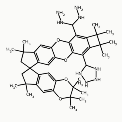 CC1(C)CC2(CC(C)(C)c3cc4c(cc32)OC(C)(C)C(C)(C)O4)c2cc3c(cc21)Oc1c(c(C2NNNN2)c2c(c1C(NN)NN)C(C)(C)C2(C)C)O3